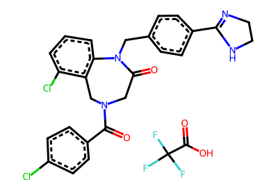 O=C(O)C(F)(F)F.O=C(c1ccc(Cl)cc1)N1CC(=O)N(Cc2ccc(C3=NCCN3)cc2)c2cccc(Cl)c2C1